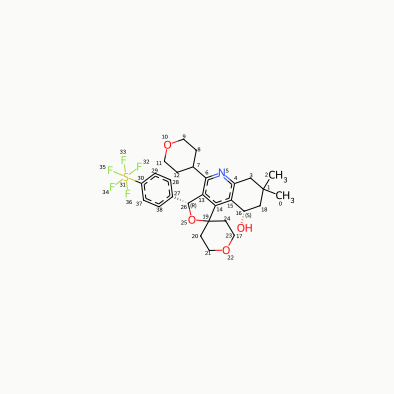 CC1(C)Cc2nc(C3CCOCC3)c3c(c2[C@@H](O)C1)C1(CCOCC1)O[C@@H]3c1ccc(S(F)(F)(F)(F)F)cc1